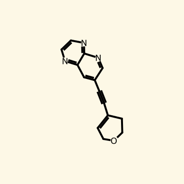 C(#Cc1cnc2nccnc2c1)C1=CCOCC1